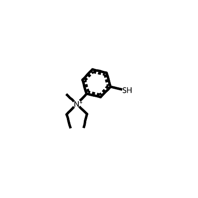 CC[N+](C)(CC)c1cccc(S)c1